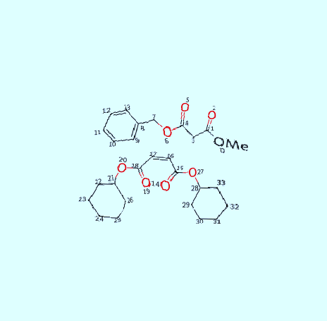 COC(=O)CC(=O)OCc1ccccc1.O=C(/C=C\C(=O)OC1CCCCC1)OC1CCCCC1